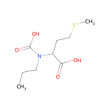 CCCN(C(=O)O)C(CCSC)C(=O)O